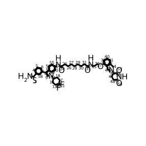 NC(=S)c1cccc(-c2cn(C3CCC(F)(F)CC3)c3cc(NC(=O)CCCCCCCC(=O)NCCOc4cccc5c4CN(C4CCC(=O)NC4=O)C5)ccc23)c1